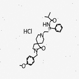 COc1ccc(CN2CCC3(CCN(CC[C@H](NC(=O)C(C)C)c4ccccc4)CC3)C2=O)cc1.Cl